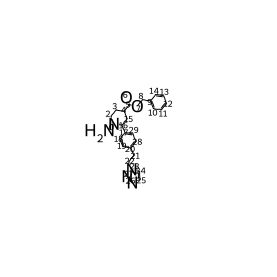 NN1CCC(C(=O)OCc2ccccc2)CC1c1ccc(CCn2ccnn2)cc1